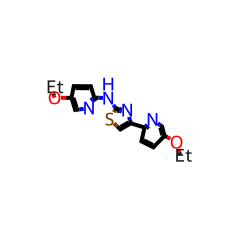 CCOc1ccc(Nc2nc(-c3ccc(OCC)cn3)cs2)nc1